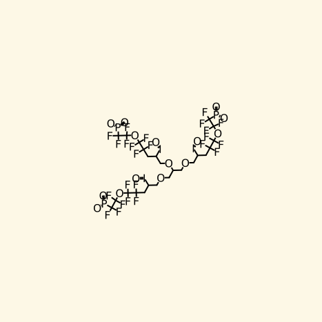 O=IC(COCC(COCC(CC(F)(F)C(F)(F)OC(F)(F)C(F)(F)P(=O)=O)I=O)OCC(CC(F)(F)C(F)(F)OC(F)(F)C(F)(F)P(=O)=O)I=O)CC(F)(F)C(F)(F)OC(F)(F)C(F)(F)P(=O)=O